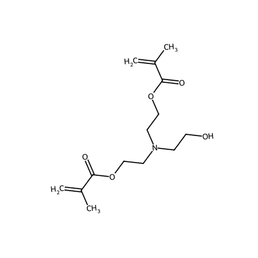 C=C(C)C(=O)OCCN(CCO)CCOC(=O)C(=C)C